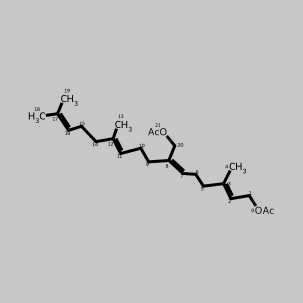 CC(=O)OC/C=C(\C)CC/C=C(/CC/C=C(\C)CCC=C(C)C)COC(C)=O